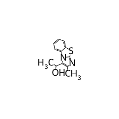 Cc1nc2sc3ccccc3n2c1C(C)O